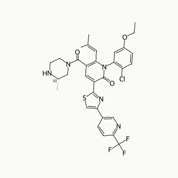 CCOc1ccc(Cl)c(-n2c(C=C(C)C)c(C(=O)N3CCN[C@@H](C)C3)cc(-c3nc(-c4ccc(C(F)(F)F)nc4)cs3)c2=O)c1